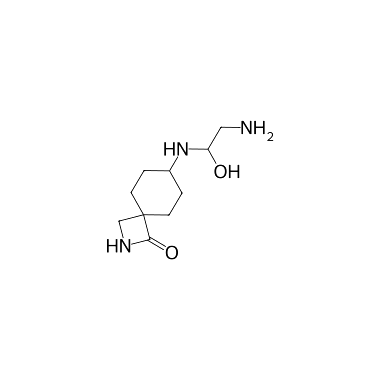 NCC(O)NC1CCC2(CC1)CNC2=O